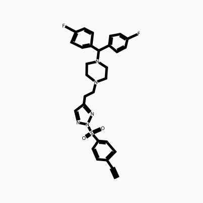 C#Cc1ccc(S(=O)(=O)n2ncc(CCN3CCN(C(c4ccc(F)cc4)c4ccc(F)cc4)CC3)n2)cc1